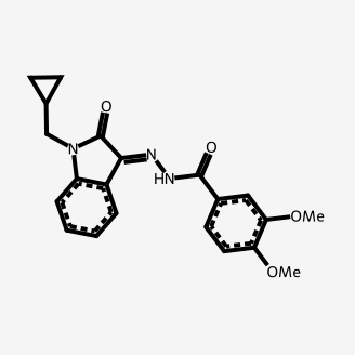 COc1ccc(C(=O)N/N=C2/C(=O)N(CC3CC3)c3ccccc32)cc1OC